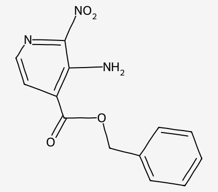 Nc1c(C(=O)OCc2ccccc2)ccnc1[N+](=O)[O-]